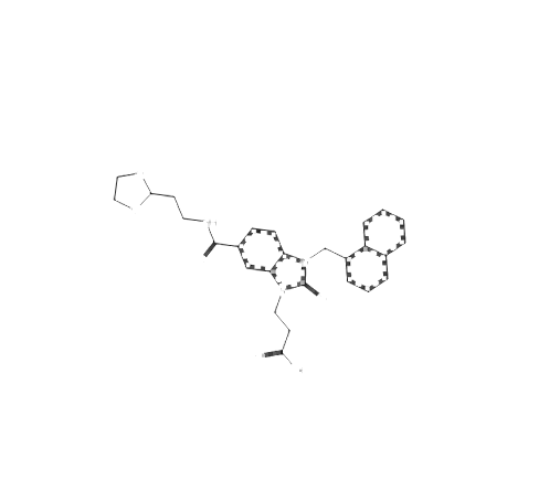 O=C(O)CCn1c(=O)n(Cc2cccc3ccccc23)c2ccc(C(=O)NCCC3OCCO3)cc21